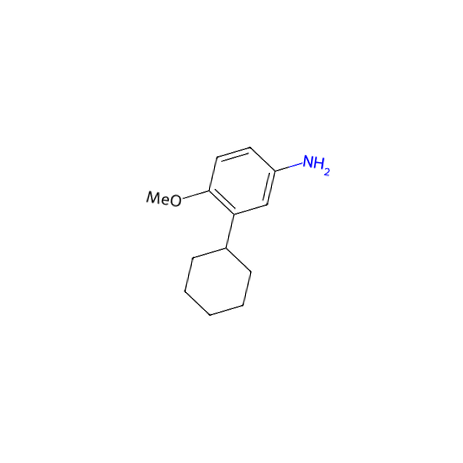 COc1ccc(N)cc1C1CCCCC1